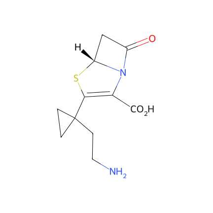 NCCC1(C2=C(C(=O)O)N3C(=O)C[C@H]3S2)CC1